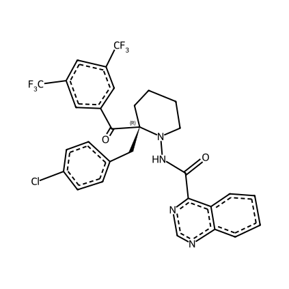 O=C(NN1CCCC[C@@]1(Cc1ccc(Cl)cc1)C(=O)c1cc(C(F)(F)F)cc(C(F)(F)F)c1)c1ncnc2ccccc12